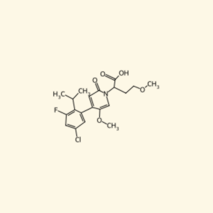 COCCC(C(=O)O)n1cc(OC)c(-c2cc(Cl)cc(F)c2C(C)C)cc1=O